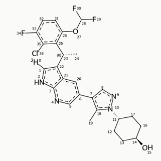 [2H]c1[nH]c2ncc(-c3cnn([C@H]4CC[C@H](O)CC4)c3C)cc2c1[C@@H](C)c1c(OC(F)F)ccc(F)c1Cl